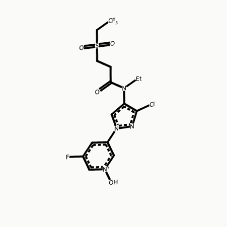 CCN(C(=O)CCS(=O)(=O)CC(F)(F)F)c1cn(-c2cc(F)c[n+](O)c2)nc1Cl